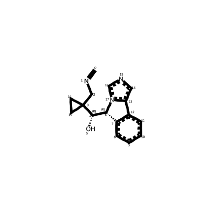 C=NCC1([C@@H](O)[C@H]2c3ccccc3-c3cncn32)CC1